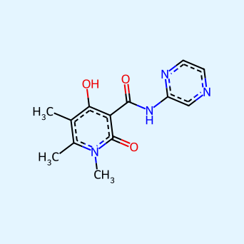 Cc1c(O)c(C(=O)Nc2cnccn2)c(=O)n(C)c1C